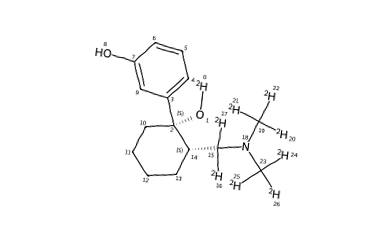 [2H]O[C@@]1(c2cccc(O)c2)CCCC[C@H]1C([2H])([2H])N(C([2H])([2H])[2H])C([2H])([2H])[2H]